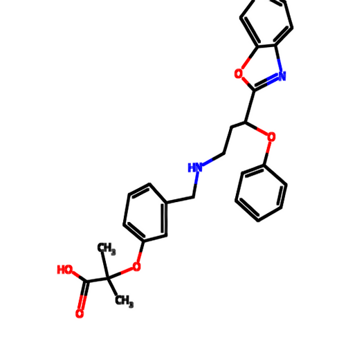 CC(C)(Oc1cccc(CNCCC(Oc2ccccc2)c2nc3ccccc3o2)c1)C(=O)O